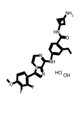 CCc1cc(Nc2nccn3c(-c4ccc(OC)c(F)c4F)cnc23)ccc1C(=O)NC12CC(N)(C1)C2.Cl.Cl